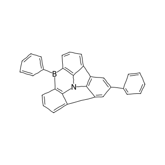 c1ccc(B2c3cccc4c5cc(-c6ccccc6)cc6c7cccc2c7n(c34)c56)cc1